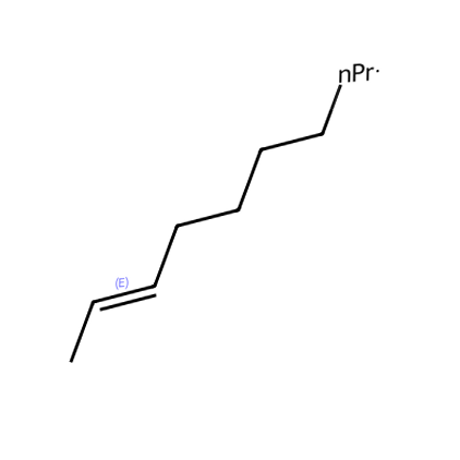 C/C=C/CCCC[CH]CC